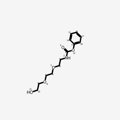 O=C(NCCOCCOCCO)Oc1[c]cccc1